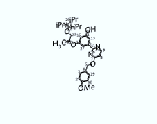 COc1ccc(COc2ccnc(-c3cc(O)cc(O[C@@H](C)CO[Si](C(C)C)(C(C)C)C(C)C)c3)n2)cc1